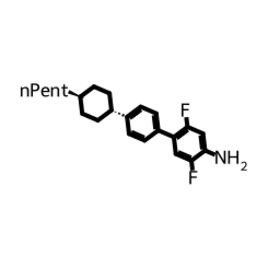 CCCCC[C@H]1CC[C@H](c2ccc(-c3cc(F)c(N)cc3F)cc2)CC1